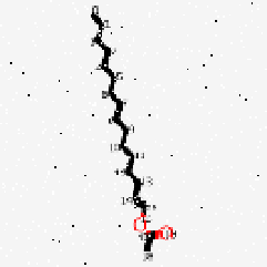 CCCCCCCCCCCCCCC=COC(C)=O